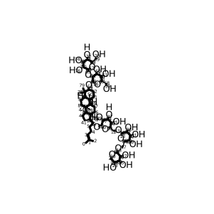 CC(C)=CCC[C@](C)(O[C@@H]1O[C@H](CO[C@@H]2O[C@H](CO[C@@H]3OC[C@@H](O)[C@H](O)[C@H]3O)[C@@H](O)[C@H](O)[C@H]2O)[C@@H](O)[C@H](O)[C@H]1O)[C@H]1CC[C@]2(C)[C@@H]1CC[C@@H]1[C@@]3(C)CC[C@H](O[C@@H]4O[C@H](CO)[C@@H](O)[C@H](O)[C@H]4O[C@@H]4O[C@H](CO)[C@@H](O)[C@H](O)[C@H]4O)C(C)(C)[C@@H]3CC[C@]12C